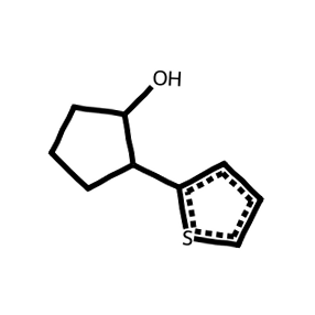 OC1CCCC1c1cccs1